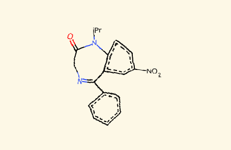 CC(C)N1C(=O)CN=C(c2ccccc2)c2cc([N+](=O)[O-])ccc21